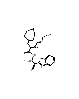 CCC(NC(=O)C(CC1CCCCC1)N/C=N/CC(F)(F)F)C(=O)c1nc2ccccc2o1